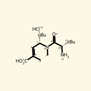 CCCC[C@@H](C=C(C)C(=O)O)N(C)C(=O)[C@@H](N)C(C)(C)C.Cl